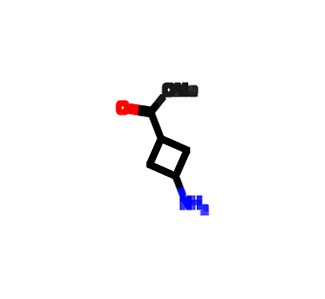 COC(=O)C1CC(N)C1